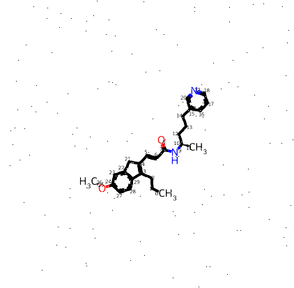 CCCC1=C(/C=C/C(=O)N[C@H](C)CCCc2cccnc2)Cc2cc(OC)ccc21